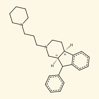 c1ccc(C2c3ccccc3[C@@H]3CCN(CCCN4CCCCC4)C[C@H]23)cc1